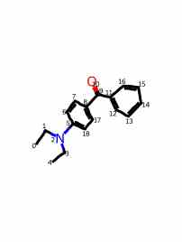 CCN(CC)c1ccc(C(=O)c2ccccc2)cc1